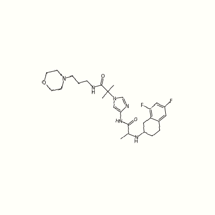 CC(NC1CCc2cc(F)cc(F)c2C1)C(=O)Nc1cn(C(C)(C)C(=O)NCCCN2CCOCC2)cn1